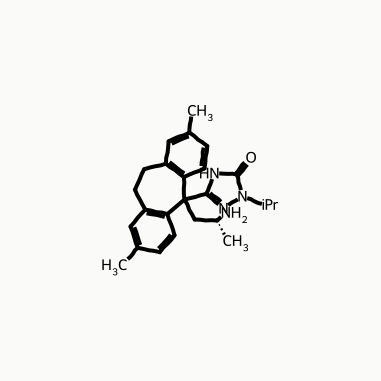 Cc1ccc2c(c1)CCc1cc(C)ccc1C2(C[C@@H](C)N)c1nn(C(C)C)c(=O)[nH]1